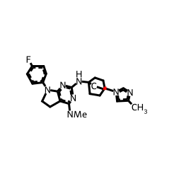 CNc1nc(NC23CCC(n4cnc(C)c4)(CC2)CC3)nc2c1CCN2c1ccc(F)cc1